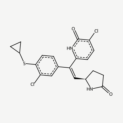 O=C1CC[C@H](/C=C(/c2ccc(SC3CC3)c(Cl)c2)c2ccc(Cl)c(=O)[nH]2)N1